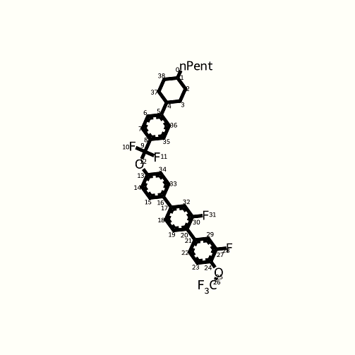 CCCCCC1CCC(c2ccc(C(F)(F)Oc3ccc(-c4ccc(-c5ccc(OC(F)(F)F)c(F)c5)c(F)c4)cc3)cc2)CC1